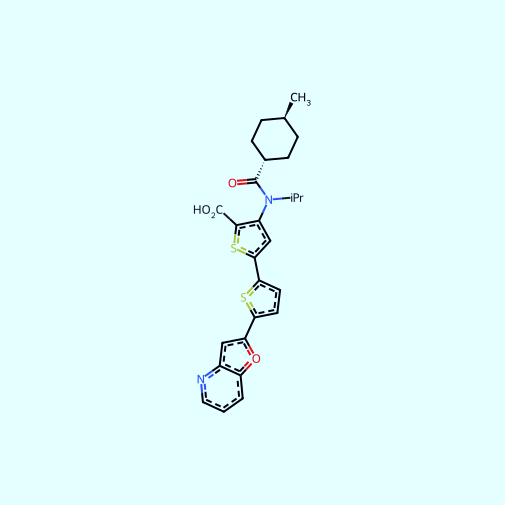 CC(C)N(c1cc(-c2ccc(-c3cc4ncccc4o3)s2)sc1C(=O)O)C(=O)[C@H]1CC[C@H](C)CC1